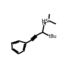 C[SiH](C)OC(C#Cc1ccccc1)C(C)(C)C